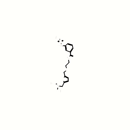 CCCCS(=O)(=O)Nc1cccc(C(=O)NCCSCc2ccc(CN(C)C)o2)c1